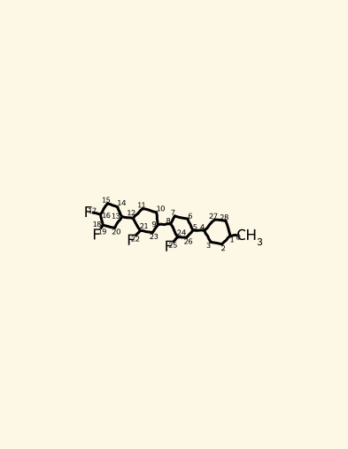 CC1CCC(C2CCC(C3CCC(C4CCC(F)C(F)C4)C(F)C3)C(F)C2)CC1